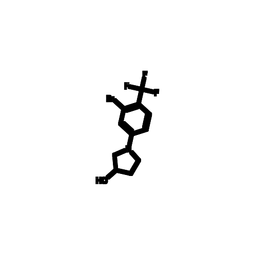 OC1CCN(c2ccc(C(F)(F)F)c(Br)c2)C1